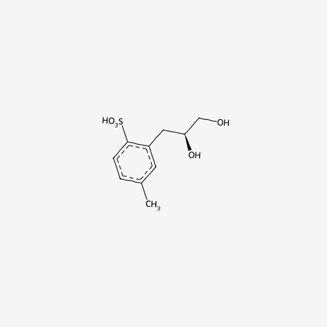 Cc1ccc(S(=O)(=O)O)c(C[C@H](O)CO)c1